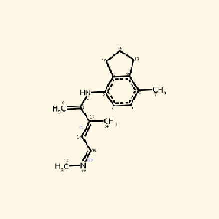 C=C(Nc1ccc(C)c2c1CCC2)/C(C)=C/C=N\C